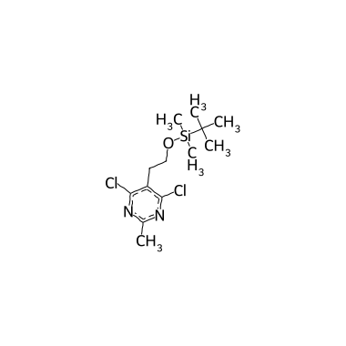 Cc1nc(Cl)c(CCO[Si](C)(C)C(C)(C)C)c(Cl)n1